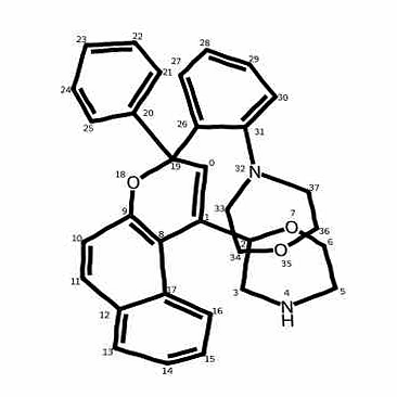 C1=C(C2CNCCO2)c2c(ccc3ccccc23)OC1(c1ccccc1)c1ccccc1N1CCOCC1